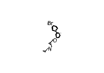 CN(CC1CC1)CC1CC1COc1cc[c]c(-c2ccc(Br)cc2)c1